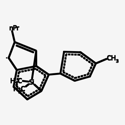 CCCC1=C2c3c(ccc(c3-c3ccc(C)cc3)[Si]2(C)C)[CH]1